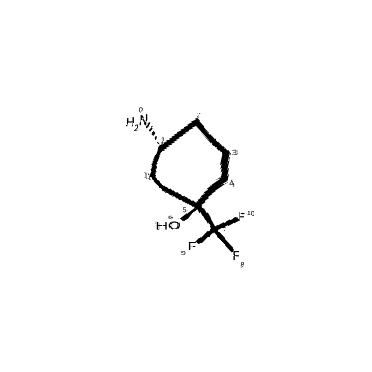 N[C@@H]1CCC[C@](O)(C(F)(F)F)C1